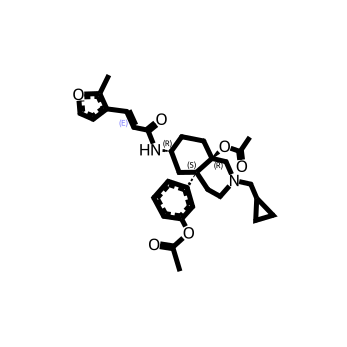 CC(=O)Oc1cccc([C@@]23CCN(CC4CC4)C[C@@]2(OC(C)=O)CC[C@@H](NC(=O)/C=C/c2ccoc2C)C3)c1